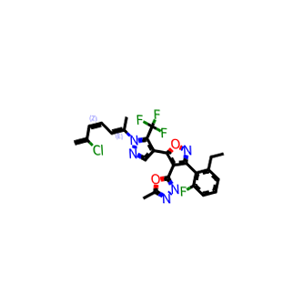 C=C(Cl)/C=C\C=C(/C)n1ncc(-c2onc(-c3c(F)cccc3CC)c2-c2nnc(C)o2)c1C(F)(F)F